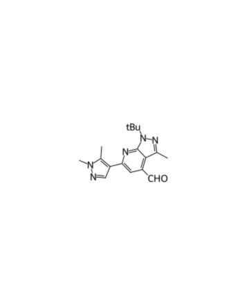 Cc1nn(C(C)(C)C)c2nc(-c3cnn(C)c3C)cc(C=O)c12